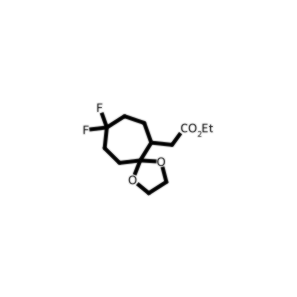 CCOC(=O)CC1CCC(F)(F)CCC12OCCO2